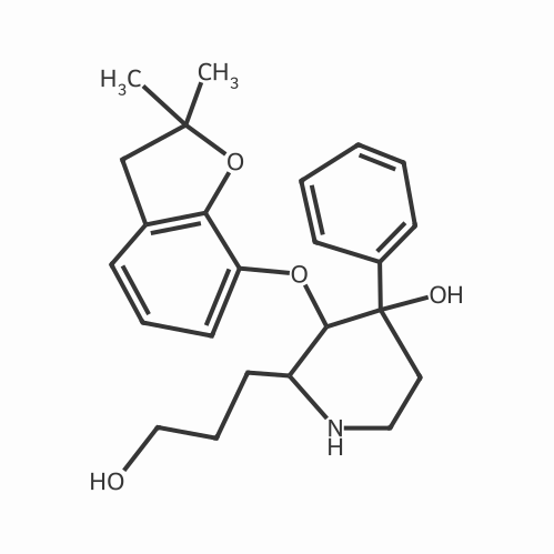 CC1(C)Cc2cccc(OC3C(CCCO)NCCC3(O)c3ccccc3)c2O1